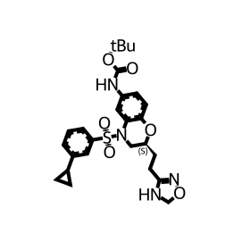 CC(C)(C)OC(=O)Nc1ccc2c(c1)N(S(=O)(=O)c1cccc(C3CC3)c1)C[C@H](CCC1=NOCN1)O2